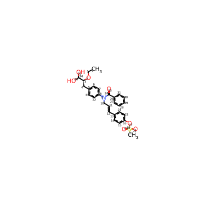 CCO[C@@H](Cc1ccc(N(C/C=C/c2ccc(OS(C)(=O)=O)cc2)C(=O)c2ccccc2)cc1)C(O)O